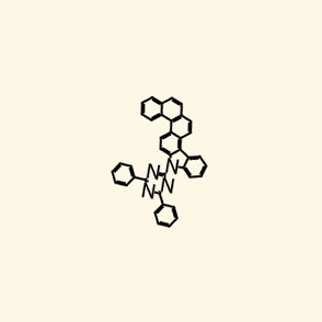 c1ccc(-c2nc(-c3ccccc3)nc(-n3c4ccccc4c4c5ccc6ccc7ccccc7c6c5ccc43)n2)cc1